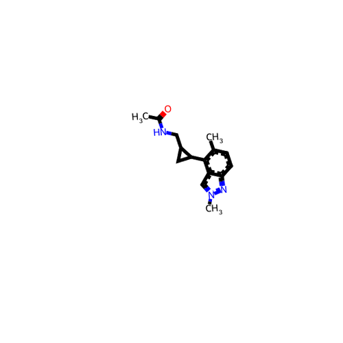 CC(=O)NCC1CC1c1c(C)ccc2nn(C)cc12